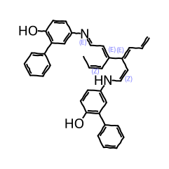 C=C/C=C(\C=C/Nc1ccc(O)c(-c2ccccc2)c1)C(/C=C\C)=C/C=N/c1ccc(O)c(-c2ccccc2)c1